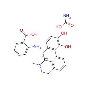 CN1CCc2cccc3c2[C@H]1Cc1ccc(O)c(O)c1-3.NC(=O)O.Nc1ccccc1C(=O)O